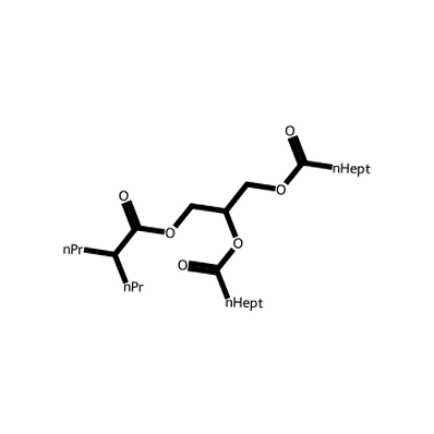 CCCCCCCC(=O)OCC(COC(=O)C(CCC)CCC)OC(=O)CCCCCCC